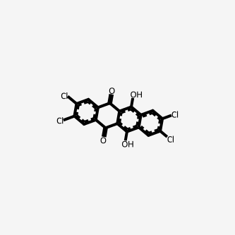 O=C1c2cc(Cl)c(Cl)cc2C(=O)c2c1c(O)c1cc(Cl)c(Cl)cc1c2O